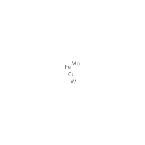 [Cu].[Fe].[Mo].[W]